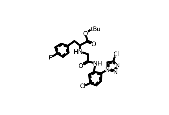 CC(C)(C)OC(=O)C(Cc1ccc(F)cc1)NCC(=O)Nc1cc(Cl)ccc1-n1cc(Cl)nn1